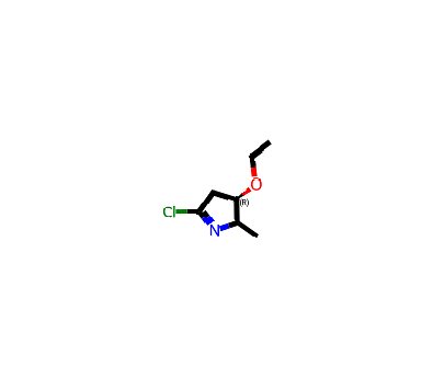 CCO[C@@H]1CC(Cl)=NC1C